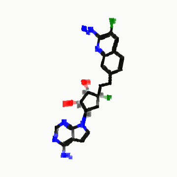 Nc1nc2cc(CC[C@@]3(F)C[C@@H](n4ccc5c(N)ncnc54)[C@H](O)[C@@H]3O)ccc2cc1Br